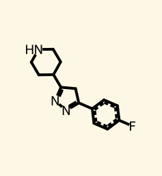 Fc1ccc(C2=NN=C(C3CCNCC3)C2)cc1